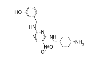 N[C@H]1CC[C@H](CNc2nc(NCc3cccc(O)c3)ncc2[N+](=O)[O-])CC1